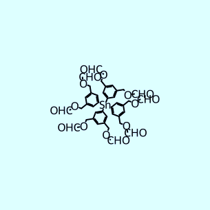 O=COCc1cc(COC=O)c[c]([Sn]([c]2cc(COC=O)cc(COC=O)c2)([c]2cc(COC=O)cc(COC=O)c2)[c]2cc(COC=O)cc(COC=O)c2)c1